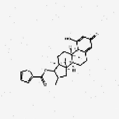 CC1C[C@H]2[C@@H]3CCC4=CC(=O)C=C(O)[C@]4(C)[C@H]3CC[C@]2(C)C1OC(=O)c1ccco1